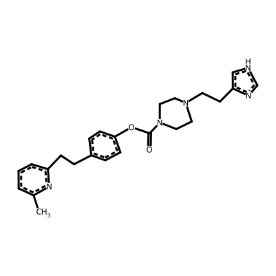 Cc1cccc(CCc2ccc(OC(=O)N3CCN(CCc4c[nH]cn4)CC3)cc2)n1